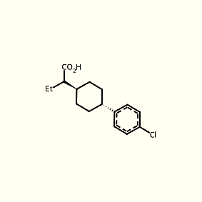 CCC(C(=O)O)[C@H]1CC[C@H](c2ccc(Cl)cc2)CC1